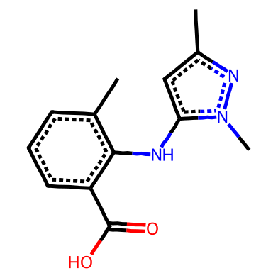 Cc1cc(Nc2c(C)cccc2C(=O)O)n(C)n1